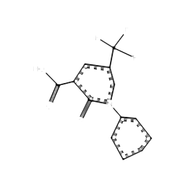 O=C(O)c1cc(C(F)(F)F)cn(-c2ccccc2)c1=O